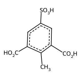 Cc1c(C(=O)O)cc(S(=O)(=O)O)cc1C(=O)O